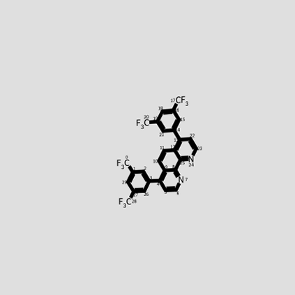 FC(F)(F)c1cc(-c2ccnc3c2ccc2c(-c4cc(C(F)(F)F)cc(C(F)(F)F)c4)ccnc23)cc(C(F)(F)F)c1